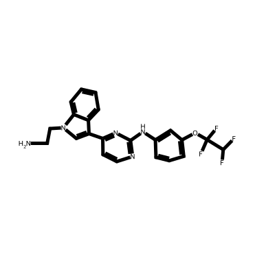 NCCn1cc(-c2ccnc(Nc3cccc(OC(F)(F)C(F)F)c3)n2)c2ccccc21